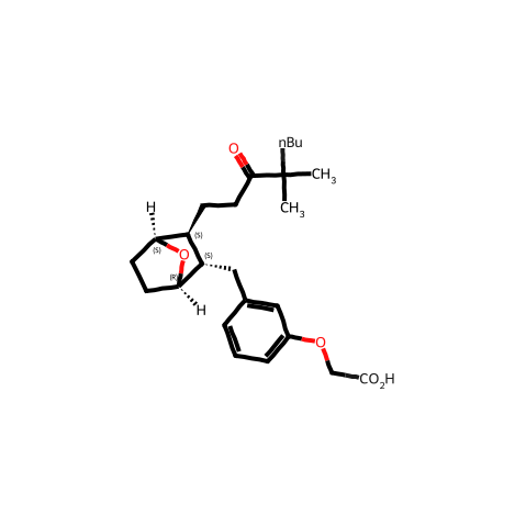 CCCCC(C)(C)C(=O)CC[C@H]1[C@H](Cc2cccc(OCC(=O)O)c2)[C@H]2CC[C@@H]1O2